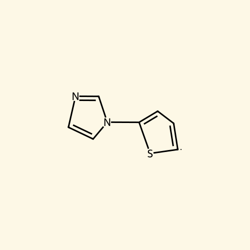 [c]1ccc(-n2ccnc2)s1